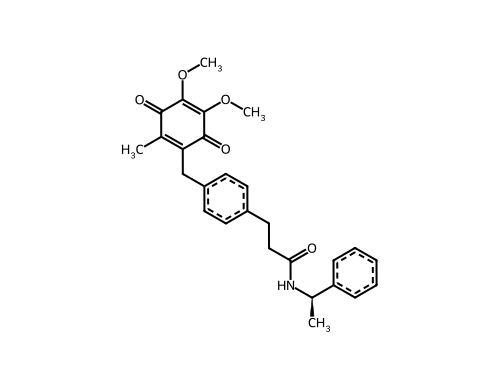 COC1=C(OC)C(=O)C(Cc2ccc(CCC(=O)N[C@H](C)c3ccccc3)cc2)=C(C)C1=O